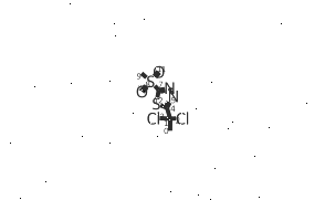 CC(Cl)(Cl)c1nnc(S(C)(=O)=O)s1